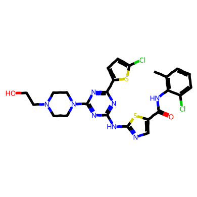 Cc1cccc(Cl)c1NC(=O)c1cnc(Nc2nc(-c3ccc(Cl)s3)nc(N3CCN(CCO)CC3)n2)s1